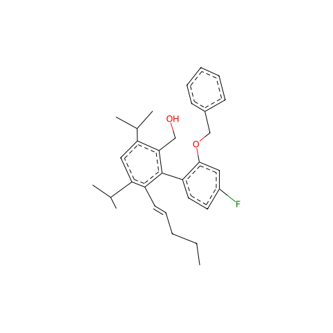 CCC/C=C/c1c(C(C)C)cc(C(C)C)c(CO)c1-c1ccc(F)cc1OCc1ccccc1